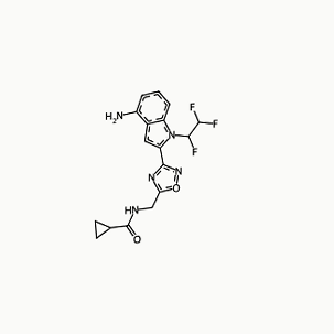 Nc1cccc2c1cc(-c1noc(CNC(=O)C3CC3)n1)n2C(F)C(F)F